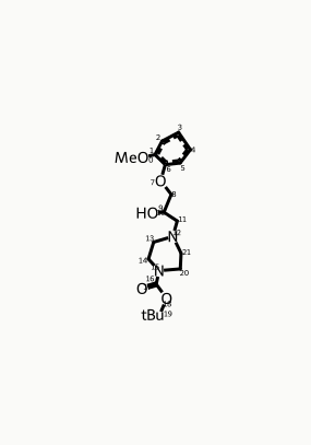 COc1ccccc1OCC(O)CN1CCN(C(=O)OC(C)(C)C)CC1